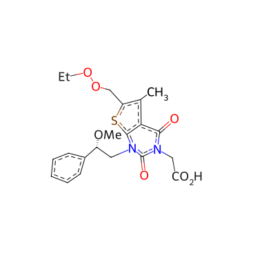 CCOOCc1sc2c(c1C)c(=O)n(CC(=O)O)c(=O)n2C[C@@H](OC)c1ccccc1